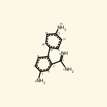 N=C(N)c1cc(N)ccc1-c1ccc(N)cc1